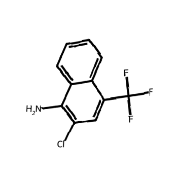 Nc1c(Cl)cc(C(F)(F)F)c2ccccc12